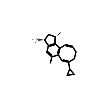 Cc1cc2c(c3c1/C=C(/C1CC1)CC/C=C\3)[C@@H](C)C[C@@H]2N